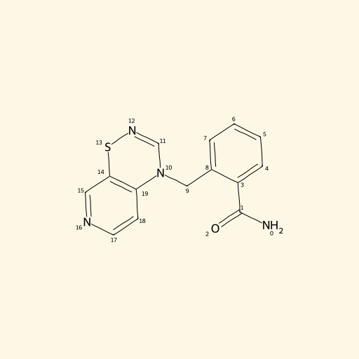 NC(=O)c1ccccc1CN1C=NSc2cnccc21